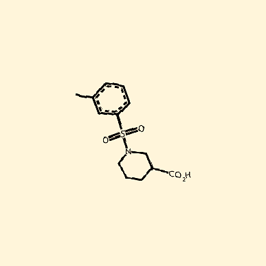 Cc1cccc(S(=O)(=O)N2CCCC(C(=O)O)C2)c1